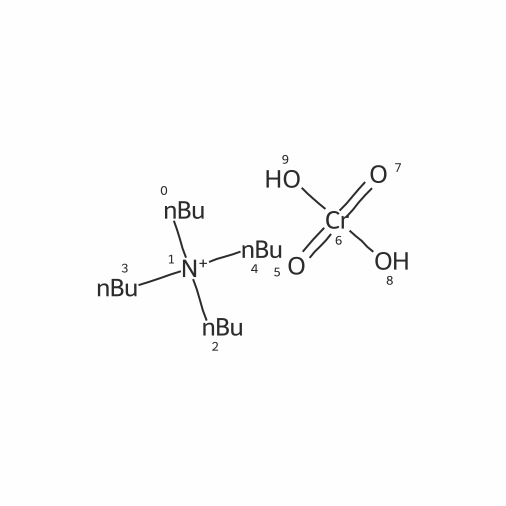 CCCC[N+](CCCC)(CCCC)CCCC.[O]=[Cr](=[O])([OH])[OH]